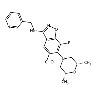 C[C@@H]1CN(c2c(C=O)cc3c(NCc4cccnc4)noc3c2F)C[C@H](C)O1